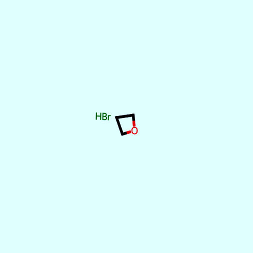 Br.C1COC1